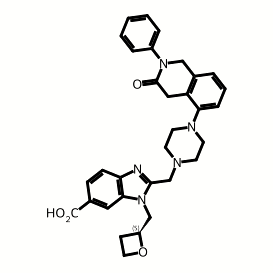 O=C(O)c1ccc2nc(CN3CCN(c4cccc5c4CC(=O)N(c4ccccc4)C5)CC3)n(C[C@@H]3CCO3)c2c1